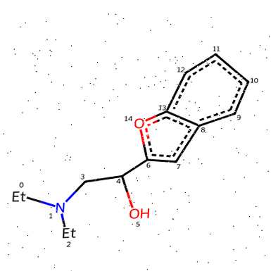 CCN(CC)CC(O)c1cc2ccccc2o1